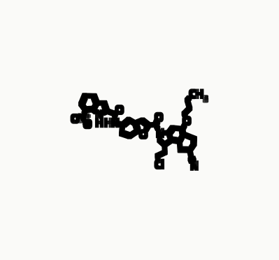 CCCCOc1cc2c(c3cc(C#N)ccc13)C(CCCl)CN2C(=O)c1cc2cc(NC(=O)c3cc4cccc([N+](=O)[O-])c4[nH]3)ccc2o1